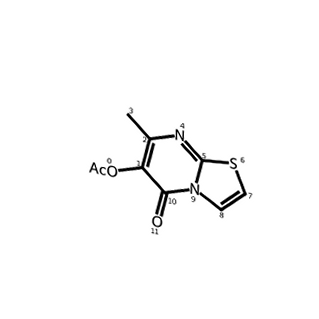 CC(=O)Oc1c(C)nc2sccn2c1=O